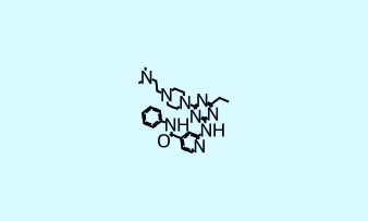 CCc1nc(Nc2cc(C(=O)Nc3ccccc3)ccn2)nc(N2CCN(CCN(C)C)CC2)n1